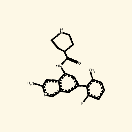 Cc1cccc(F)c1-c1cc(NC(=O)C2CCNCC2)c2cc(N)ncc2c1